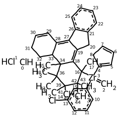 Cl.Cl.[CH2]=[Zr]([C]1=CC=CC1)([c]1cccc(Cl)c1)[C]1(C)C2=C3Cc4ccccc4C3=C3C=CCCC3C2(C)C(C)(C)C(C)(C)C1(C)C